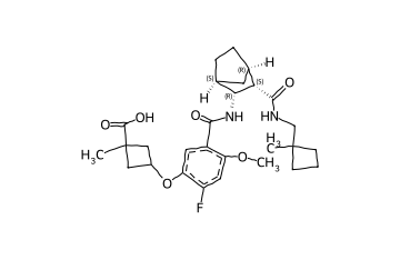 COc1cc(F)c(OC2CC(C)(C(=O)O)C2)cc1C(=O)N[C@@H]1[C@H]2CC[C@H](C2)[C@@H]1C(=O)NCC1(C)CCC1